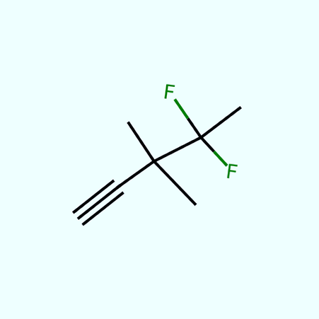 C#CC(C)(C)C(C)(F)F